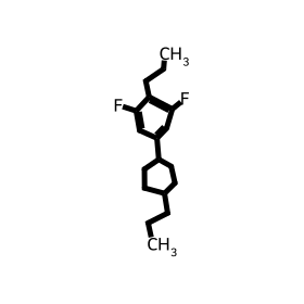 CCCc1c(F)cc(C2CCC(CCC)CC2)cc1F